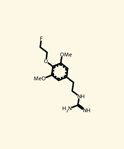 COc1cc(CCNC(=N)N)cc(OC)c1OCCF